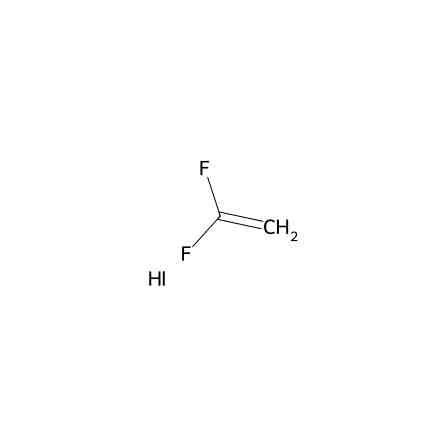 C=C(F)F.I